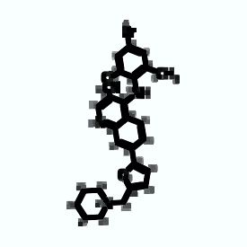 Cc1cc(Br)cc(Cl)c1Nc1c(C#N)cnc2cc(-c3ccc(CN4CCCCC4)o3)ccc12